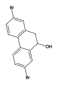 OC1Cc2cc(Br)ccc2-c2ccc(Br)cc21